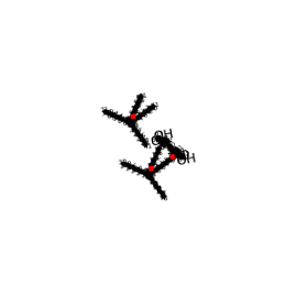 CCCCCCCCCC[N+](CCCCCCCCCC)(CCCCCCCCCC)CCCCCCCCCC.CCCCCCCCCC[N+](CCCCCCCCCC)(CCCCCCCCCC)CCCCCCCCCC.O=C(O)c1ccc(SSc2ccc(C(=O)O)cc2)cc1